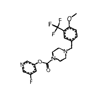 COc1ccc(CN2CCN(C(=O)Oc3cncc(F)c3)CC2)cc1C(F)(F)F